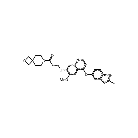 COc1cc2c(Oc3ccc4[nH]c(C)cc4c3)ccnc2cc1OCCC(=O)N1CCC2(CC1)COC2